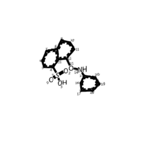 O=S(=O)(O)c1cccc2cccc(ONc3ccccc3)c12